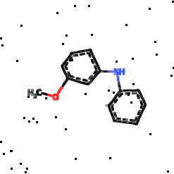 COc1cccc(Nc2[c]cccc2)c1